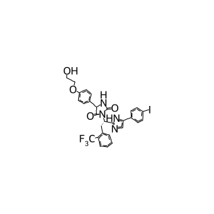 O=C1NC(c2ccc(OCCO)cc2)C(=O)N1[C@@H](Cc1ccccc1C(F)(F)F)c1ncc(-c2ccc(I)cc2)[nH]1